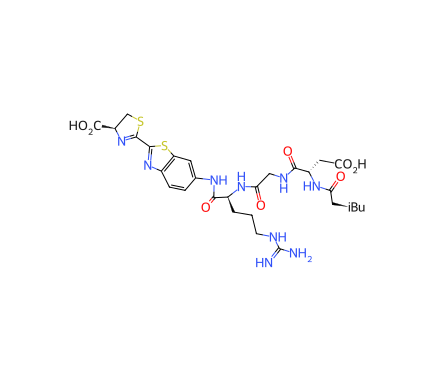 CC[C@H](C)CC(=O)N[C@@H](CC(=O)O)C(=O)NCC(=O)N[C@@H](CCCNC(=N)N)C(=O)Nc1ccc2nc(C3=N[C@@H](C(=O)O)CS3)sc2c1